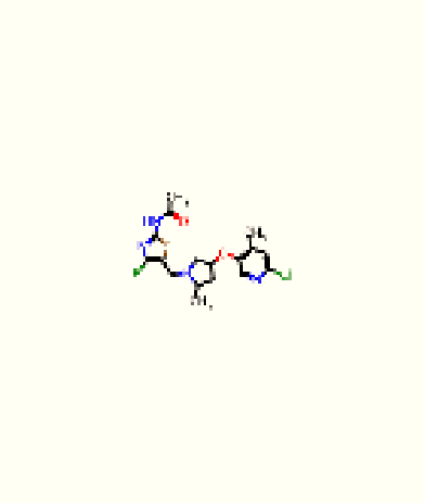 CC(=O)Nc1nc(F)c(CN2CC(Oc3cnc(Cl)cc3C)CC2C)s1